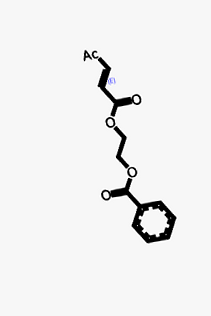 CC(=O)/C=C/C(=O)OCCOC(=O)c1ccccc1